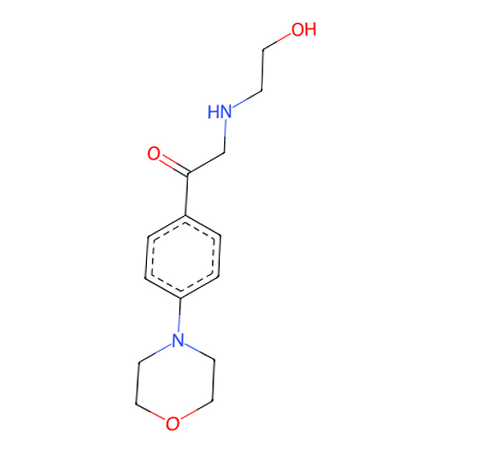 O=C(CNCCO)c1ccc(N2CCOCC2)cc1